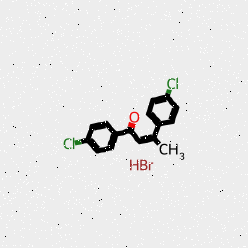 Br.CC(=CC(=O)c1ccc(Cl)cc1)c1ccc(Cl)cc1